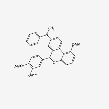 COc1ccc(C2Oc3cccc(OC)c3-c3ccc(N(C)c4ccccc4)cc32)cc1OC